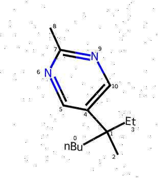 CCCCC(C)(CC)c1cnc(C)nc1